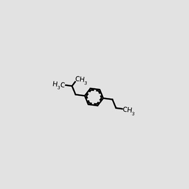 CCCc1ccc(CC(C)C)cc1